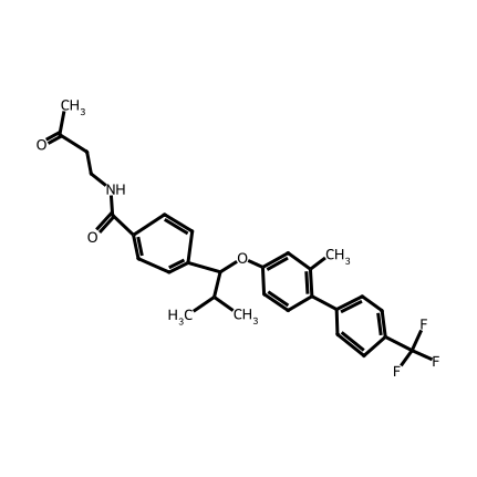 CC(=O)CCNC(=O)c1ccc(C(Oc2ccc(-c3ccc(C(F)(F)F)cc3)c(C)c2)C(C)C)cc1